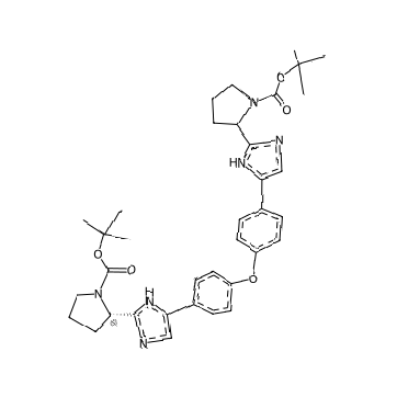 CC(C)(C)OC(=O)N1CCCC1c1ncc(-c2ccc(Oc3ccc(-c4cnc([C@@H]5CCCN5C(=O)OC(C)(C)C)[nH]4)cc3)cc2)[nH]1